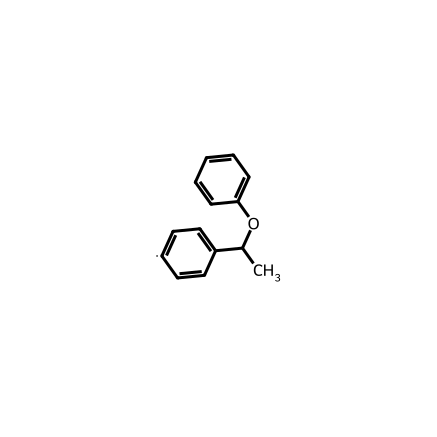 CC(Oc1ccccc1)c1cc[c]cc1